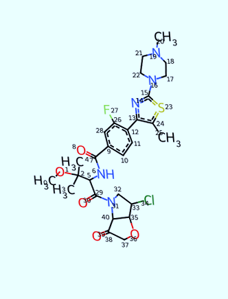 COC(C)(C)C(NC(=O)c1ccc(-c2nc(N3CCN(C)CC3)sc2C)c(F)c1)C(=O)N1CC(Cl)C2OCC(=O)C21